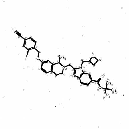 CC1c2cc(OCc3ccc(C#N)cc3F)ccc2CCN1Cc1nc2ccc(C(=O)OC(C)(C)C)cc2n1CC1CCO1